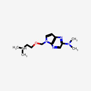 CN(C)c1cnc2c(ccn2COCC[SiH](C)C)n1